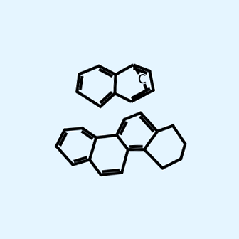 c1ccc2c(c1)ccc1c3c(ccc12)CCCC3.c1ccc2c3ccc(c2c1)CC3